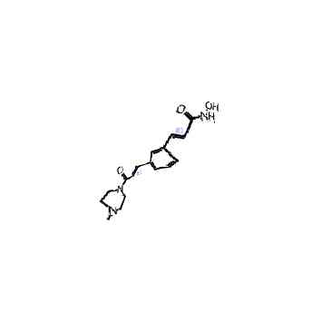 CN1CCN(C(=O)/C=C/c2cccc(/C=C/C(=O)NO)c2)CC1